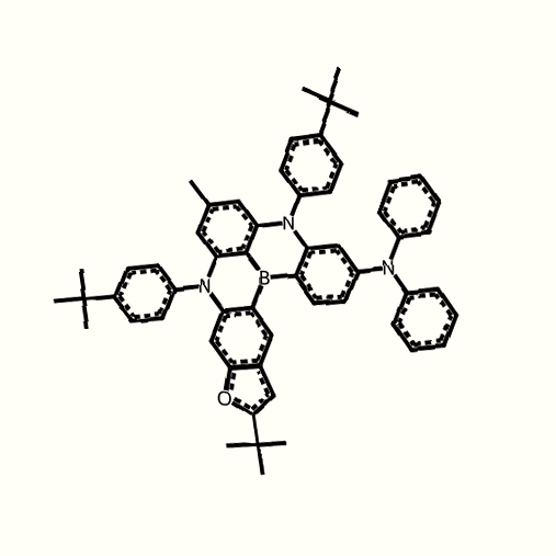 Cc1cc2c3c(c1)N(c1ccc(C(C)(C)C)cc1)c1cc4oc(C(C)(C)C)cc4cc1B3c1ccc(N(c3ccccc3)c3ccccc3)cc1N2c1ccc(C(C)(C)C)cc1